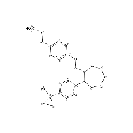 N#CC1(c2ccc(C3=C(COc4ccc(CCC(=O)O)cc4)CCCCC3)cc2)CC1